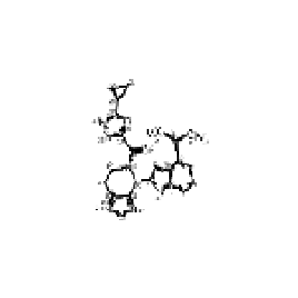 CC(C)c1cccn2nc([C@H]3c4nc[nH]c4CCN3C(=O)c3nnc(C4CC4)o3)cc12